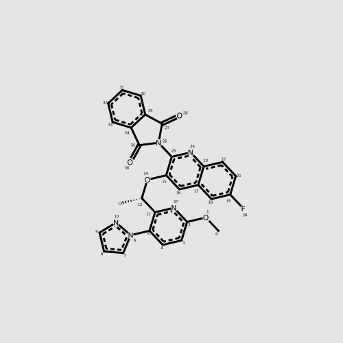 COc1ccc(-n2cccn2)c([C@H](C)Oc2cc3cc(F)ccc3nc2N2C(=O)c3ccccc3C2=O)n1